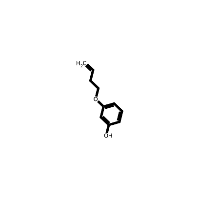 C=CCCOc1cccc(O)c1